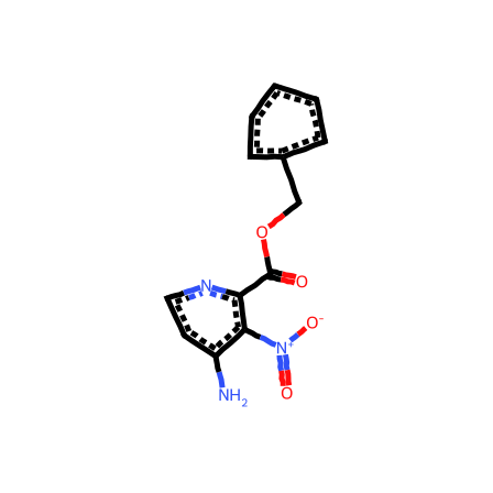 Nc1ccnc(C(=O)OCc2ccccc2)c1[N+](=O)[O-]